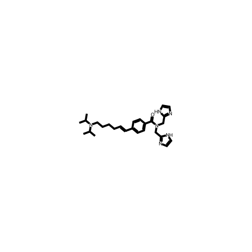 CC(C)N(CCCCC=Cc1ccc(C(=O)N(Cc2ncc[nH]2)Cc2ncc[nH]2)cc1)C(C)C